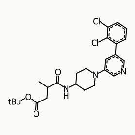 CC(CC(=O)OC(C)(C)C)C(=O)NC1CCN(c2cncc(-c3cccc(Cl)c3Cl)c2)CC1